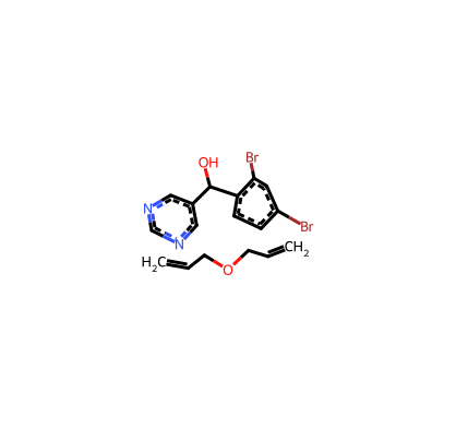 C=CCOCC=C.OC(c1cncnc1)c1ccc(Br)cc1Br